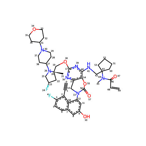 C#Cc1c(F)ccc2cc(O)cc(N3Cc4nc(OC[C@]5(C)C[C@@H](F)CN5C5CCN(C6CCOCC6)CC5)nc(NCC5(N(C)C(=O)C=C)CCCC5)c4OC3=O)c12